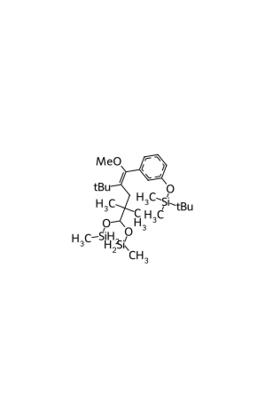 COC(=C(CC(C)(C)C(O[SiH2]C)O[SiH2]C)C(C)(C)C)c1cccc(O[Si](C)(C)C(C)(C)C)c1